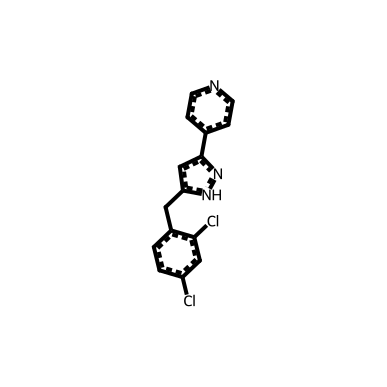 Clc1ccc(Cc2cc(-c3ccncc3)n[nH]2)c(Cl)c1